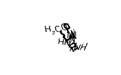 C/C=C/C=C/C(Nc1ccc2[nH]cnc2c1)c1nnnn1CC1CCCO1